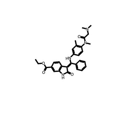 CCOC(=O)c1ccc2c(c1)NC(=O)C2=C(Nc1ccc(N(C)C(=O)CN(C)C)c(C)c1)c1ccccc1